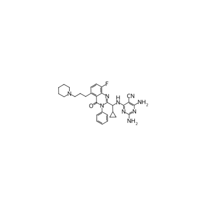 N#Cc1c(N)nc(N)nc1NC(c1nc2c(F)ccc(CCCN3CCCCC3)c2c(=O)n1-c1ccccc1)C1CC1